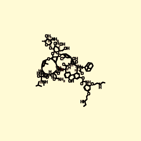 CCNCCOc1ccc(NC(=O)Oc2cc(C)c3c(c2)[C@@H](C(=O)NC2C4CC5CC(C4)CC2C5)NC(=O)[C@H]2NC(=O)[C@H](NC(=O)[C@@H]4NC(=O)[C@H](CC(N)=O)NC(=O)[C@H](NC(=O)[C@@H](CC(C)C)NC)[C@H](O)c5ccc(c(C)c5)Oc5cc4cc(c5O[C@@H]4O[C@H](CO)[C@@H](O)[C@H](O)[C@H]4O[C@H]4C[C@](C)(N)[C@H](O)[C@H](C)O4)Oc4ccc(cc4Cl)[C@H]2O)c2ccc(O)c-3c2)c(OCCNCC)c1